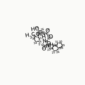 Cc1ccc(C[C@H](NC(=O)[C@H]2O[C@@H]2C(=O)NCC(=O)O)C(=O)NCc2ccc3ccccc3c2)cc1